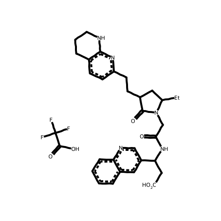 CCC1CC(CCc2ccc3c(n2)NCCC3)C(=O)N1CC(=O)NC(CC(=O)O)c1cnc2ccccc2c1.O=C(O)C(F)(F)F